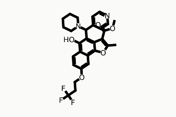 COC(=O)c1c(C)oc2c1c(C(c1ccncc1)N1CCCCC1)c(O)c1ccc(OCCC(F)(F)F)cc12